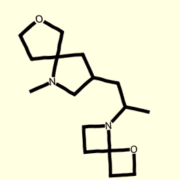 CC(CC1CN(C)C2(CCOC2)C1)N1CCC12CCO2